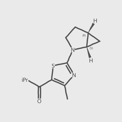 Cc1nc(N2CC[C@@H]3C[C@@H]32)sc1C(=O)C(C)C